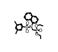 CCOP(=O)(CN(c1cccc2ccccc12)S(=O)(=O)c1cc(C)cc(C)c1)OCC